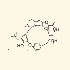 C=C(O)C1=C2Oc3cc4c(cc3O1)CCN(C)C4Cc1cc(CN(C)C)c(O)c(c1)Oc1ccc(cc1)CC(NC)C2=C